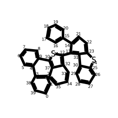 c1ccc(-c2ccccc2-c2sc(-c3c(-c4ccccc4)ccc4sc5ccccc5c34)c3ccccc23)cc1